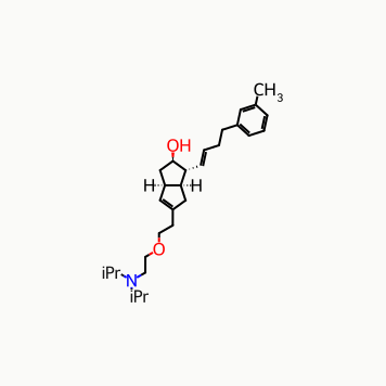 Cc1cccc(CC/C=C/[C@@H]2[C@H]3CC(CCOCCN(C(C)C)C(C)C)=C[C@H]3C[C@H]2O)c1